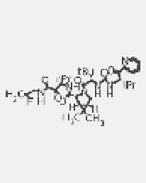 C=C(F)CNC(=O)C(=O)C(CCC)NC(=O)[C@@H]1[C@@H]2[C@H](CN1C(=O)[C@@H](NC(=O)N[C@H](C(=O)c1ccccn1)C(C)C)C(C)(C)C)C2(C)C